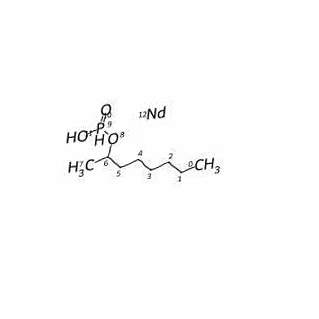 CCCCCCC(C)O[PH](=O)O.[Nd]